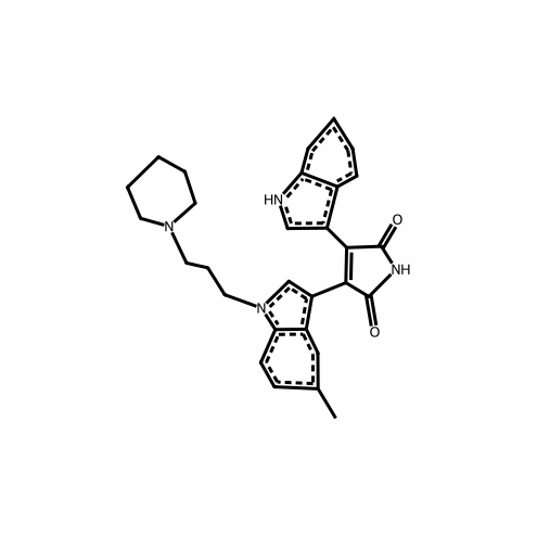 Cc1ccc2c(c1)c(C1=C(c3c[nH]c4ccccc34)C(=O)NC1=O)cn2CCCN1CCCCC1